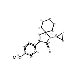 COc1ccc(N2CC3(CCCCC3)N(C3CC3)C2=O)cc1